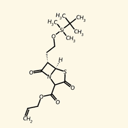 C=CCOC(=O)C1C(=O)S[C@@H]2[C@@H](CCO[Si](C)(C)C(C)(C)C)C(=O)N12